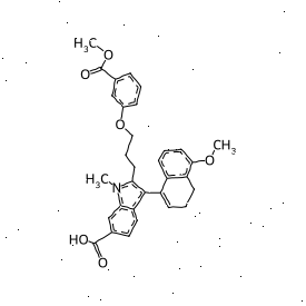 COC(=O)c1cccc(OCCCc2c(C3=CCCc4c(OC)cccc43)c3ccc(C(=O)O)cc3n2C)c1